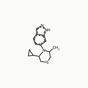 CC1[CH]SCC(C2CC2)N1c1ccc2cn[nH]c2c1